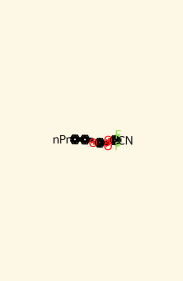 CCCC1CCC(C2CCC(COc3ccc(C(=O)Oc4cc(F)c(C#N)c(F)c4)cc3)CC2)CC1